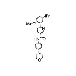 COc1ccc(C(C)C)cc1-c1ccc(C(=O)Nc2ccc(N3CCOCC3)cc2)cn1